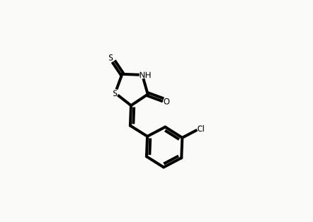 O=C1NC(=S)SC1=Cc1cccc(Cl)c1